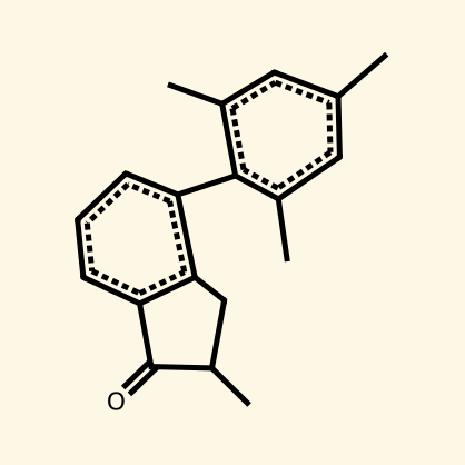 Cc1cc(C)c(-c2cccc3c2CC(C)C3=O)c(C)c1